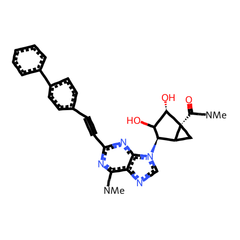 CNC(=O)[C@]12CC1[C@@H](n1cnc3c(NC)nc(C#Cc4ccc(-c5ccccc5)cc4)nc31)C(O)[C@@H]2O